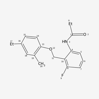 CCC(=O)Nc1cccc(F)c1COc1ccc(CC)cc1C